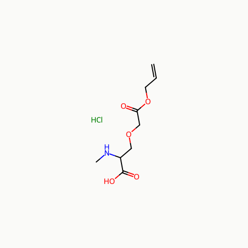 C=CCOC(=O)COCC(NC)C(=O)O.Cl